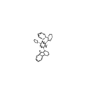 Clc1nc(-c2ccccc2-c2ccccc2)nc(-c2cccc3c2sc2ccccc23)n1